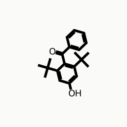 CC(C)(C)c1cc(O)cc(C(C)(C)C)c1C(=O)c1ccccc1